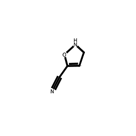 N#CC1=[C]CNO1